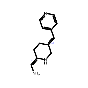 N/C=C1/CC/C(=C\c2ccncc2)CN1